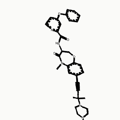 CN1CCN(C(C)(C)C#Cc2ccc3c(c2)N(C)C(=O)C(NC(=O)c2cc(Oc4ccccc4)ccn2)CO3)CC1